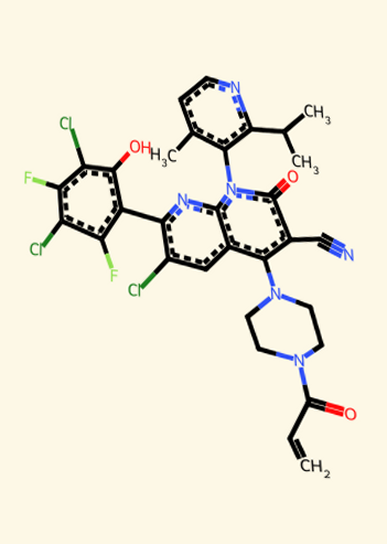 C=CC(=O)N1CCN(c2c(C#N)c(=O)n(-c3c(C)ccnc3C(C)C)c3nc(-c4c(O)c(Cl)c(F)c(Cl)c4F)c(Cl)cc23)CC1